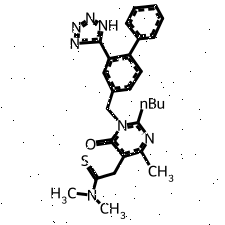 CCCCc1nc(C)c(CC(=S)N(C)C)c(=O)n1Cc1ccc(-c2ccccc2)c(-c2nnn[nH]2)c1